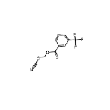 N#CSCOC(=S)c1cccc(C(F)(F)F)c1